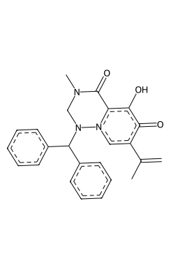 C=C(C)c1cn2c(c(O)c1=O)C(=O)N(C)CN2C(c1ccccc1)c1ccccc1